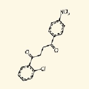 O=C(CCC(=O)c1ccccc1Cl)c1ccc([N+](=O)[O-])cc1